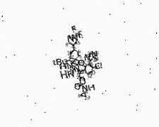 CC(C)(C)C[C@]1(C2(C)C=CC(c3cnn(C(F)F)c3)=CC2)NC(=N)N([C@H](COC(=O)NC2CC2)c2ccc(Cl)c(-c3ncns3)c2)C1=O